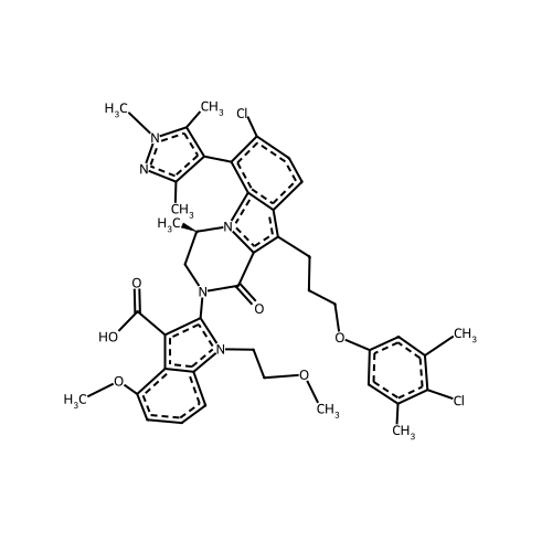 COCCn1c(N2C[C@@H](C)n3c(c(CCCOc4cc(C)c(Cl)c(C)c4)c4ccc(Cl)c(-c5c(C)nn(C)c5C)c43)C2=O)c(C(=O)O)c2c(OC)cccc21